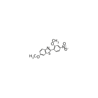 COc1ccc2nc(-c3ccc([N+](=O)[O-])cc3OC)sc2c1